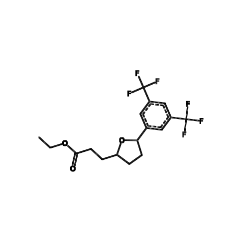 CCOC(=O)CCC1CCC(c2cc(C(F)(F)F)cc(C(F)(F)F)c2)O1